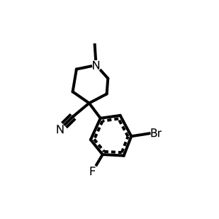 CN1CCC(C#N)(c2cc(F)cc(Br)c2)CC1